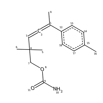 CC(=C=CC(C)(C)COC(N)=O)c1ccc(C)cc1